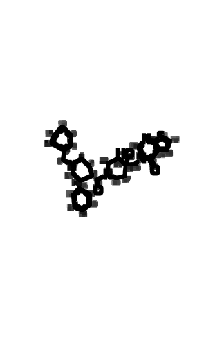 O=C([C@H]1CCN(Cc2ccccc2)C[C@@H]1c1ccccc1)N1CCC(O)(Cn2cnc3sccc3c2=O)CC1